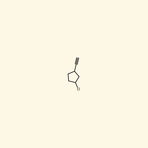 [C]#CC1CCC(Cl)C1